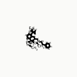 CC#N.CC(C)N(CCCc1c(C2(C(F)(F)F)CC2)cccc1C1(C(F)(F)F)CC1)CCc1ccccc1